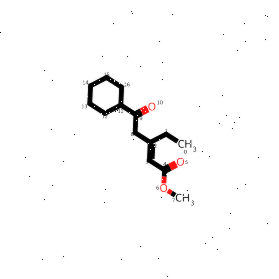 CC/C(=C\C(=O)OC)CC(=O)C1CCCCC1